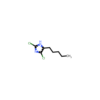 CCCCCc1[nH]c(Cl)nc1Cl